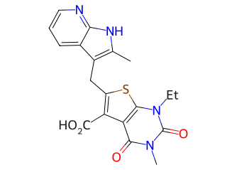 CCn1c(=O)n(C)c(=O)c2c(C(=O)O)c(Cc3c(C)[nH]c4ncccc34)sc21